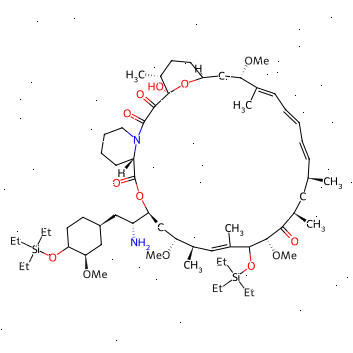 CC[Si](CC)(CC)OC1CC[C@@H](C[C@@H](N)[C@@H]2C[C@@H](OC)[C@H](C)/C=C(\C)C(O[Si](CC)(CC)CC)[C@@H](OC)C(=O)[C@H](C)C[C@H](C)/C=C/C=C/C=C(\C)[C@@H](OC)C[C@@H]3CC[C@@H](C)[C@@](O)(O3)C(=O)C(=O)N3CCCC[C@H]3C(=O)O2)C[C@H]1OC